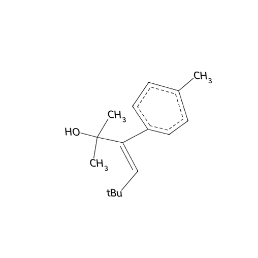 Cc1ccc(/C(=C/C(C)(C)C)C(C)(C)O)cc1